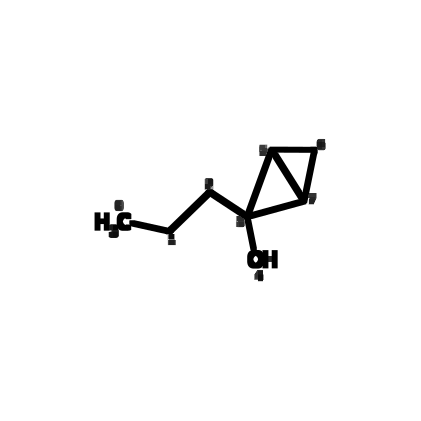 CCCC1(O)C2CC21